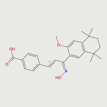 COc1cc2c(cc1C(/C=C/c1ccc(C(=O)O)cc1)=NO)C(C)(C)CCC2(C)C